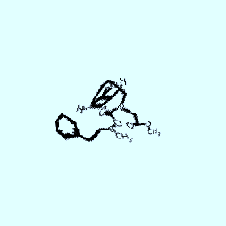 COC(=O)CN(C[C@H]1CC[C@@H]2CC1C2(C)C)C(=O)OB(C)/C=C/c1ccccc1